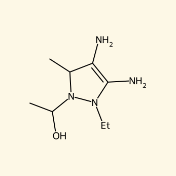 CCN1C(N)=C(N)C(C)N1C(C)O